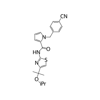 CC(C)OC(C)(C)c1csc(NC(=O)c2cccn2Cc2ccc(C#N)cc2)n1